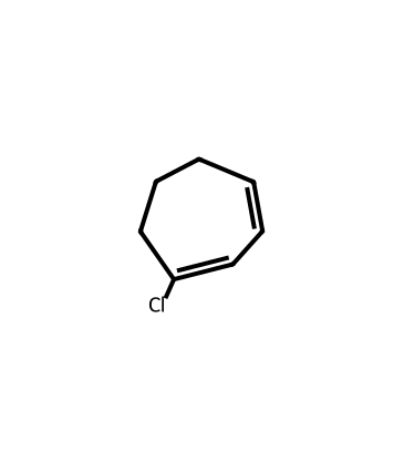 ClC1=CC=CCCC1